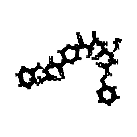 CC(C)C[C@H](NC(=O)OCc1ccccc1)C(=O)NC(C)C(=O)C(=O)N1CCC(C(=O)N[C@@H](Cc2ccccc2)C(N)=O)CC1